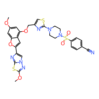 COc1cc(OCc2csc(N3CCN(S(=O)(=O)c4ccc(C#N)cc4)CC3)n2)c2cc(-c3cn4nc(OC)sc4n3)oc2c1